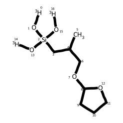 [3H]O[Si](CC(C)COC1CCCO1)(O[3H])O[3H]